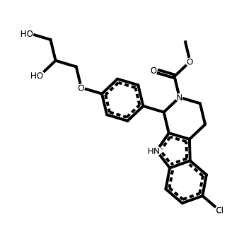 COC(=O)N1CCc2c([nH]c3ccc(Cl)cc23)C1c1ccc(OCC(O)CO)cc1